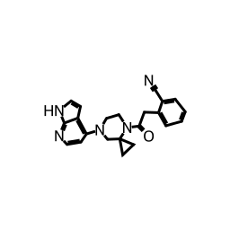 N#Cc1ccccc1CC(=O)N1CCN(c2ccnc3[nH]ccc23)CC12CC2